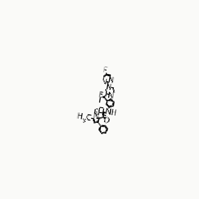 Cc1cc(-c2ccccc2)c(C(=O)C(=O)Nc2ccc3c(c2)C(F)(F)C2CN(c4ncc(F)cn4)CCN32)n1C